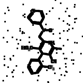 CCOC(=O)C1=C(C[S+]([O-])c2ccncc2)NC(C)=C(C#N)C1c1ccccc1C(F)(F)F